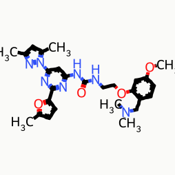 COc1ccc(CN(C)C)c(OCCNC(=O)Nc2cc(-n3nc(C)cc3C)nc(-c3ccc(C)o3)n2)c1